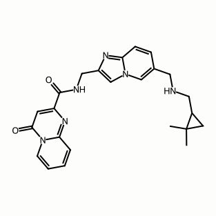 CC1(C)CC1CNCc1ccc2nc(CNC(=O)c3cc(=O)n4ccccc4n3)cn2c1